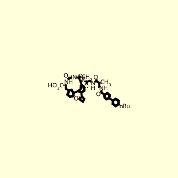 CCCCc1ccc(-c2ccc(C(=O)NCC(C)C(=O)NCC(=O)N(C)C3C(=O)NCC(=O)N[C@H](C(=O)O)Cc4ccc(O)c(c4)-c4cc3ccc4C3CCC3)cc2)cc1